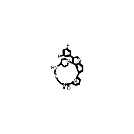 CN1CCCCNC2CCN(CC2)c2c(-c3cc(F)cc(F)c3)cnc3ccc(cc23)-c2cccc(n2)C1=O